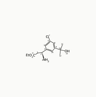 CCOC(=O)C[C@H](N)c1cc(Cl)cc(C(C)(C)O)c1